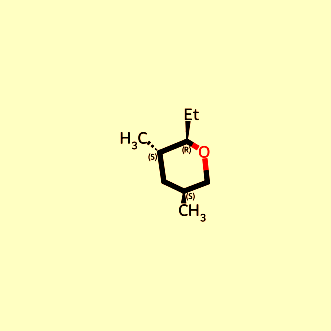 CC[C@H]1OC[C@@H](C)C[C@@H]1C